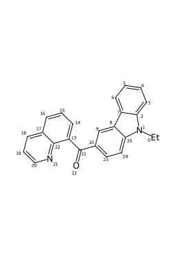 CCn1c2ccccc2c2cc(C(=O)c3cccc4cccnc34)ccc21